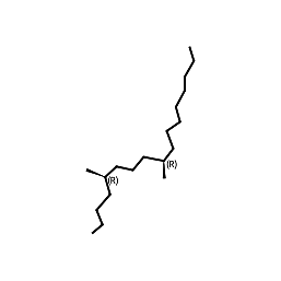 CCCCCCCC[C@@H](C)CCC[C@H](C)CCCC